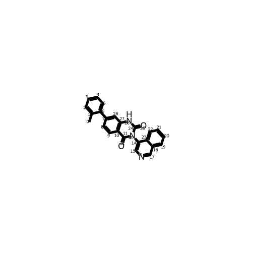 Cc1ccccc1-c1ccc2c(=O)n(-c3cncc4ccccc34)c(=O)[nH]c2c1